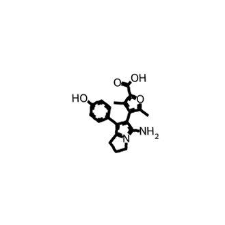 Cc1oc(C(=O)O)c(C)c1-c1c(-c2ccc(O)cc2)c2n(c1N)CCC2